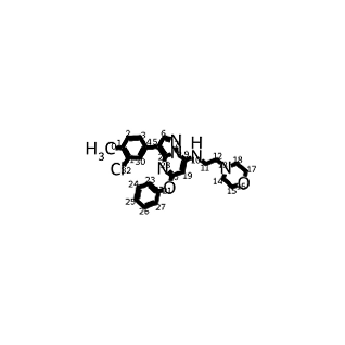 Cc1ccc(-c2cnn3c(NCCN4CCOCC4)cc(Oc4ccccc4)nc23)cc1Cl